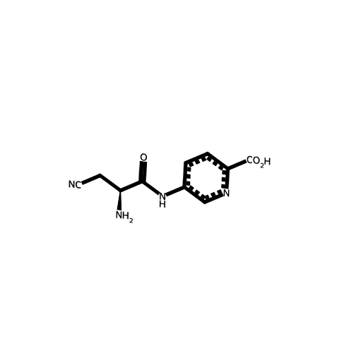 N#CC[C@H](N)C(=O)Nc1ccc(C(=O)O)nc1